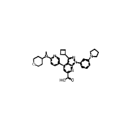 CN(c1ccc(-c2cc(C(=O)O)nc3c2c(C2CCC2)nn3-c2cccc(N3CCCC3)c2)cn1)C1CCOCC1